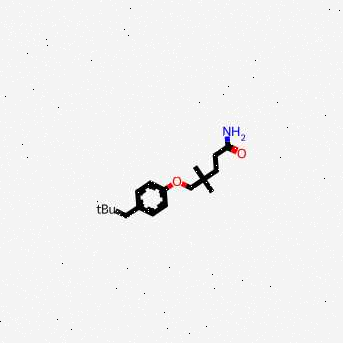 CC(C)(C)Cc1ccc(OCC(C)(C)CCC(N)=O)cc1